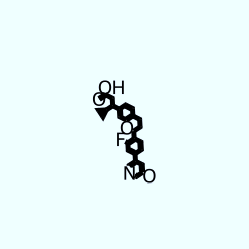 COc1cncc(-c2ccc(C3CCc4ccc(C(CC(=O)O)C5CC5)cc4O3)c(F)c2)c1